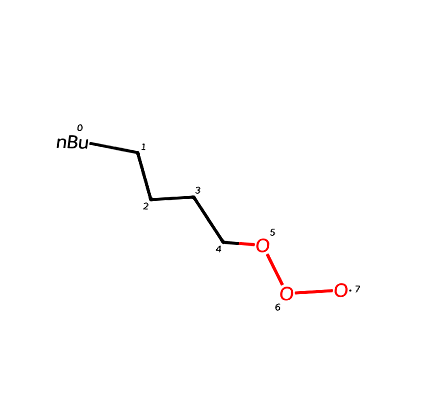 CCCCCCCCOO[O]